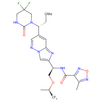 COC[C@H](c1cnn2cc([C@H](CO[C@H](C)C(F)(F)F)NC(=O)c3nonc3C)nc2c1)N1CC(F)(F)CNC1=O